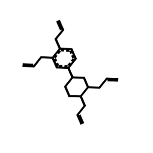 C=CCc1ccc(C2CCC(CC=C)C(CC=C)C2)cc1CC=C